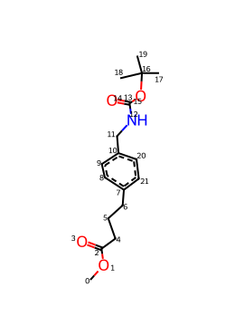 COC(=O)CCCc1ccc(CNC(=O)OC(C)(C)C)cc1